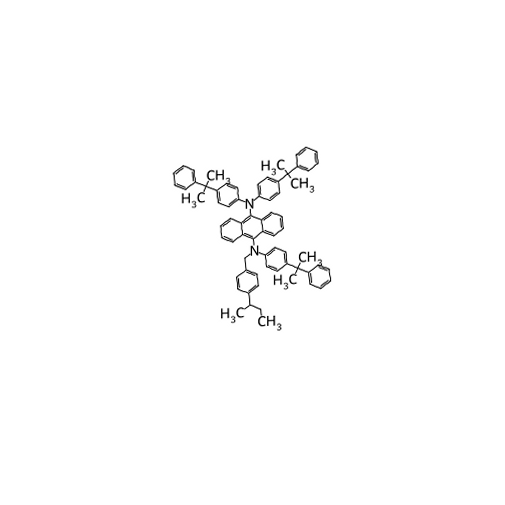 CCC(C)c1ccc(CN(c2ccc(C(C)(C)c3ccccc3)cc2)c2c3ccccc3c(N(c3ccc(C(C)(C)c4ccccc4)cc3)c3ccc(C(C)(C)c4ccccc4)cc3)c3ccccc23)cc1